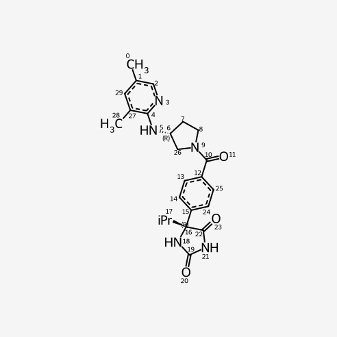 Cc1cnc(N[C@@H]2CCN(C(=O)c3ccc([C@@]4(C(C)C)NC(=O)NC4=O)cc3)C2)c(C)c1